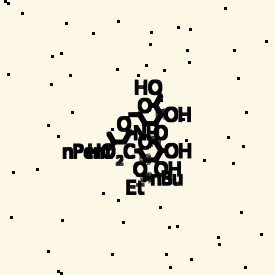 CCCCCC(C)CC(=O)NC1C(C)OC(CO)[C@@H](O)C1O[C@@H]1OC(C(=O)O)[C@@H](O[C@H](CC)CCCC)C(O)C1O